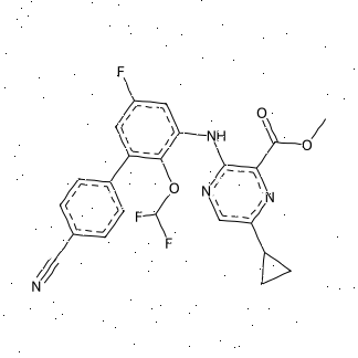 COC(=O)c1nc(C2CC2)cnc1Nc1cc(F)cc(-c2ccc(C#N)cc2)c1OC(F)F